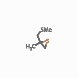 CSCC1(C)CS1